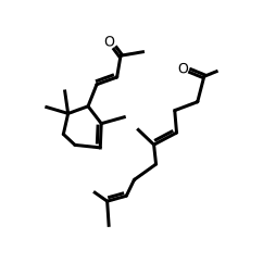 CC(=O)C=CC1C(C)=CCCC1(C)C.CC(=O)CC/C=C(\C)CCC=C(C)C